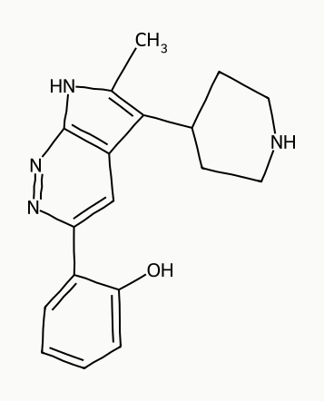 Cc1[nH]c2nnc(-c3ccccc3O)cc2c1C1CCNCC1